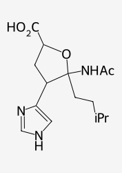 CC(=O)NC1(CCC(C)C)OC(C(=O)O)CC1c1c[nH]cn1